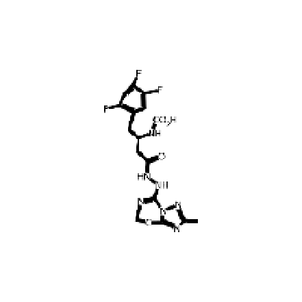 Cc1nc2n(n1)C(NNC(=O)C[C@@H](Cc1cc(F)c(F)cc1F)NC(=O)O)=NCC2